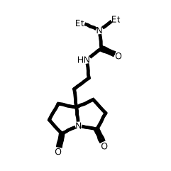 CCN(CC)C(=O)NCCC12CCC(=O)N1C(=O)CC2